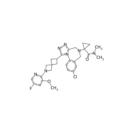 COc1cc(F)cnc1N1CC2(CC(c3nnc4n3-c3ccc(Cl)cc3CN(C3(C(=O)N(C)C)CC3)C4)C2)C1